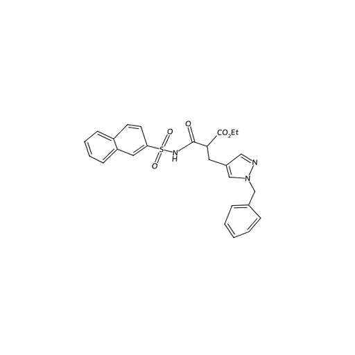 CCOC(=O)C(Cc1cnn(Cc2ccccc2)c1)C(=O)NS(=O)(=O)c1ccc2ccccc2c1